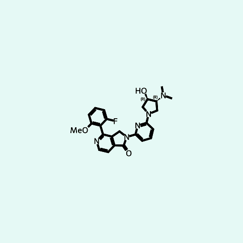 COc1cccc(F)c1-c1nccc2c1CN(c1cccc(N3C[C@@H](O)[C@H](N(C)C)C3)n1)C2=O